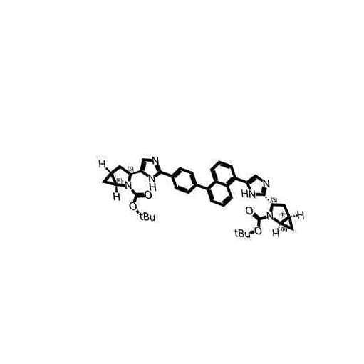 CC(C)(C)OC(=O)N1[C@@H]2C[C@@H]2C[C@H]1c1cnc(-c2ccc(-c3cccc4c(-c5cnc([C@@H]6C[C@H]7C[C@H]7N6C(=O)OC(C)(C)C)[nH]5)cccc34)cc2)[nH]1